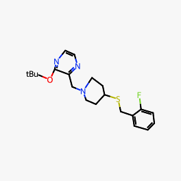 CC(C)(C)Oc1nccnc1CN1CCC(SCc2ccccc2F)CC1